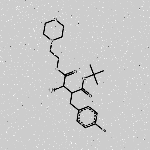 CC(C)(C)OC(=O)C(Cc1ccc(Br)cc1)C(N)C(=O)OCCN1CCOCC1